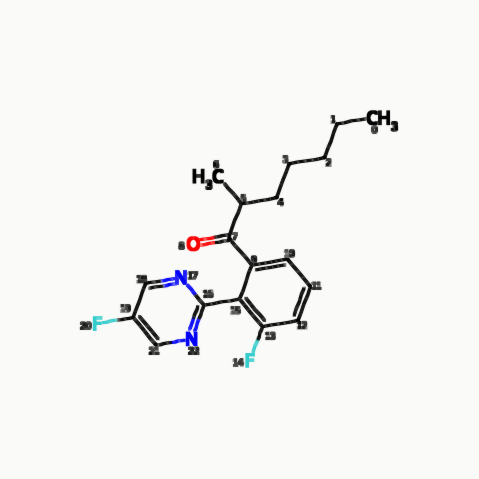 CCCCCC(C)C(=O)c1cccc(F)c1-c1ncc(F)cn1